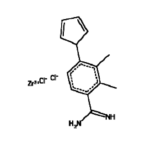 Cc1c(C(=N)N)ccc(C2C=CC=C2)c1C.[Cl-].[Cl-].[Zr+2]